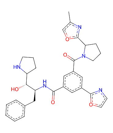 Cc1coc(C2CCCN2C(=O)c2cc(C(=O)N[C@@H](Cc3ccccc3)[C@H](O)C3CCCN3)cc(-c3ncco3)c2)n1